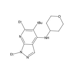 CCc1nc2c(cnn2CC)c(NC2CCOCC2)c1C(C)(C)C